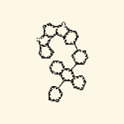 c1ccc(-c2c3ccccc3c(-c3cccc(-c4ccc5oc6ccc7oc8ccccc8c7c6c5c4)c3)c3ccccc23)cc1